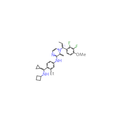 C=C1C(Nc2ccc(C(NC3CCC3)=C3CC3)c(CC)c2)=NC=CN1/C(=C\C)c1ccc(OC)c(F)c1F